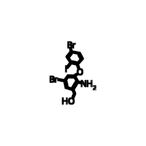 Nc1c(CO)cc(Br)cc1Oc1ccc(Br)cc1I